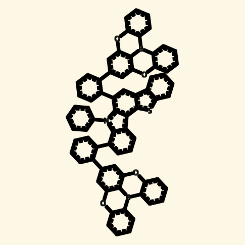 c1ccc(-n2c3c(-c4ccccc4-c4cc5c6c(c4)Oc4ccccc4B6c4ccccc4O5)cccc3c3c4sc5ccccc5c4cc(-c4ccccc4-c4cc5c6c(c4)Oc4ccccc4B6c4ccccc4O5)c32)cc1